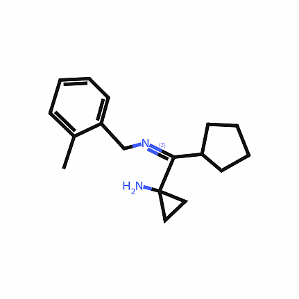 Cc1ccccc1C/N=C(/C1CCCC1)C1(N)CC1